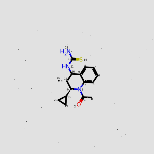 CC(=O)N1c2ccccc2C(NC(N)=S)[C@@H](C)[C@@H]1C1CC1